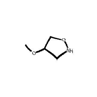 COC1[CH]NOC1